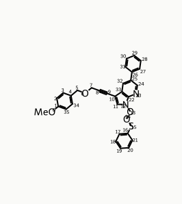 COc1ccc(COCC#Cc2cn(OOSc3ccccc3)c3ncc(-c4ccccc4)cc23)cc1